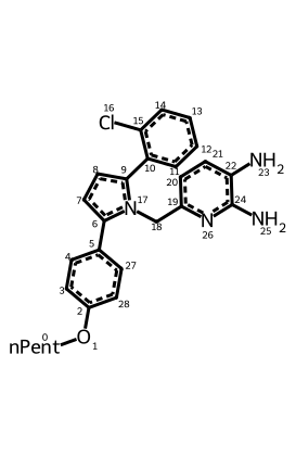 CCCCCOc1ccc(-c2ccc(-c3ccccc3Cl)n2Cc2ccc(N)c(N)n2)cc1